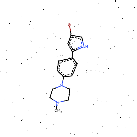 CN1CCN(c2ccc(-c3cc(Br)c[nH]3)cc2)CC1